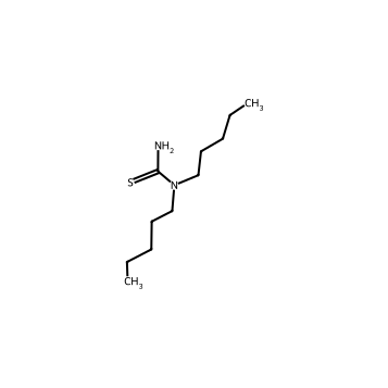 CCCCCN(CCCCC)C(N)=S